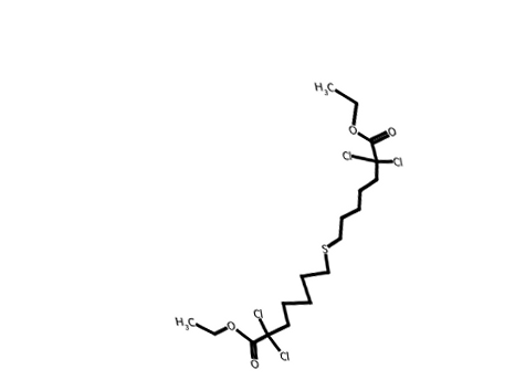 CCOC(=O)C(Cl)(Cl)CCCCCSCCCCCC(Cl)(Cl)C(=O)OCC